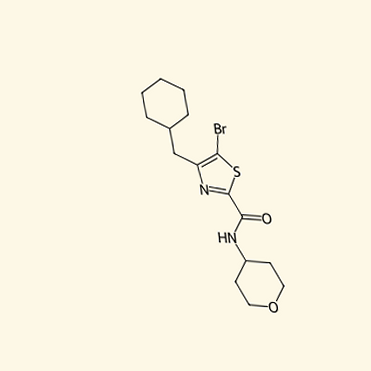 O=C(NC1CCOCC1)c1nc(CC2CCCCC2)c(Br)s1